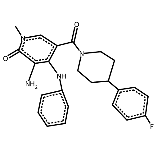 Cn1cc(C(=O)N2CCC(c3ccc(F)cc3)CC2)c(Nc2ccccc2)c(N)c1=O